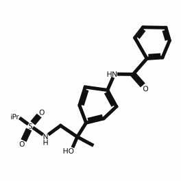 CC(C)S(=O)(=O)NCC(C)(O)c1ccc(NC(=O)c2ccccc2)cc1